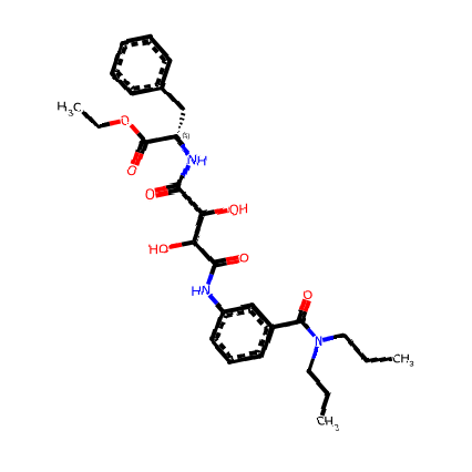 CCCN(CCC)C(=O)c1cccc(NC(=O)C(O)C(O)C(=O)N[C@@H](Cc2ccccc2)C(=O)OCC)c1